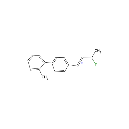 Cc1ccccc1-c1ccc(/C=C/C(C)F)cc1